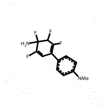 CNc1ccc(C2=C(F)C(F)C(N)(F)C(F)=C2)cc1